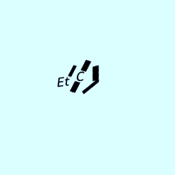 C=C=C.C=CC.CCC